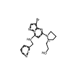 OCC[C@@H]1CCCN1c1cc(NCc2cccnc2)n2ncc(Br)c2n1